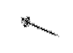 CC(C)(C)OC(=O)C(CCNCCCCCCNCCCCCCNCCCCN)C(N)(C(=O)OC(C)(C)C)C(=O)OC(C)(C)C